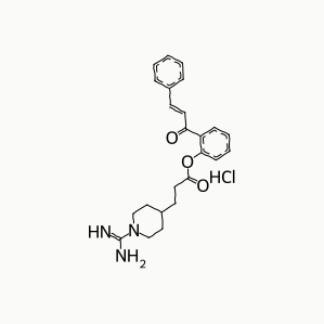 Cl.N=C(N)N1CCC(CCC(=O)Oc2ccccc2C(=O)/C=C/c2ccccc2)CC1